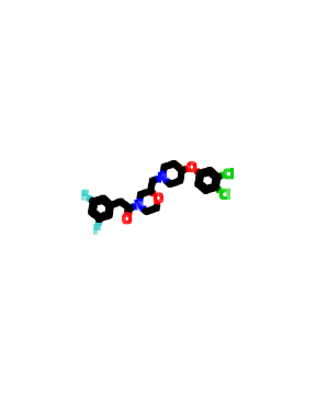 O=C(Cc1cc(F)cc(F)c1)N1CCOC(CN2CCC(Oc3ccc(Cl)c(Cl)c3)CC2)C1